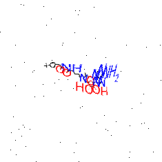 CC(C)N(CCCCC(=O)NC(=O)Cc1ccc(C(C)(C)C)cc1)CC1OC(n2cnc3c(N)ncnc32)[C@@H](O)[C@@H]1O